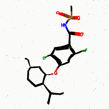 CC(C)[C@H]1CC[C@H](C)C[C@@H]1Oc1cc(F)c(C(=O)NS(C)(=O)=O)cc1Cl